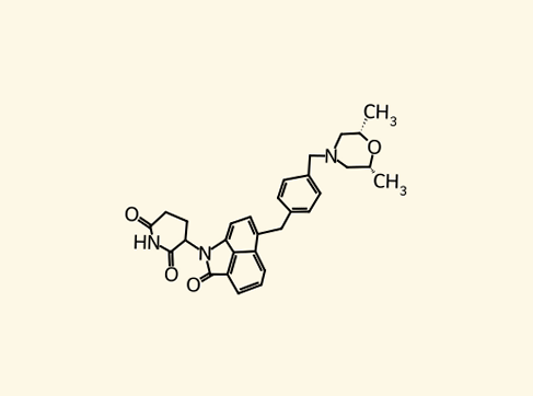 C[C@@H]1CN(Cc2ccc(Cc3ccc4c5c(cccc35)C(=O)N4C3CCC(=O)NC3=O)cc2)C[C@H](C)O1